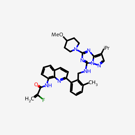 C=C(F)C(=O)Nc1cccc2ccc(-c3cccc(C)c3CNc3nc(N4CCC(OC)CC4)nc4c(C(C)C)cnn34)nc12